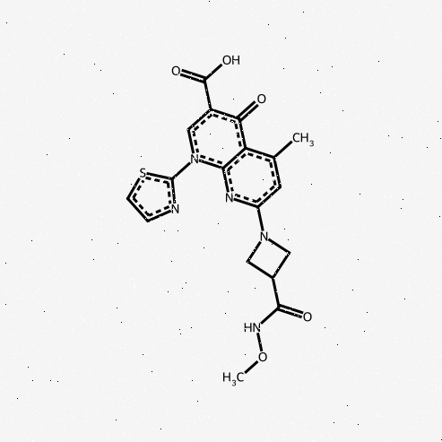 CONC(=O)C1CN(c2cc(C)c3c(=O)c(C(=O)O)cn(-c4nccs4)c3n2)C1